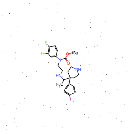 CC(NCCN(C(=O)OC(C)(C)C)c1ccc(F)c(F)c1)C1(c2ccc(I)cc2)CCNCC1